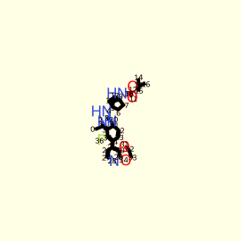 Cc1nc(NC23CCC(NC(=O)OC(C)(C)C)(CC2)C3)nc2ccc(-c3ccnc4c3OCCO4)c(F)c12